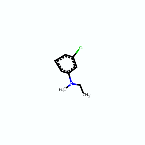 [CH2]CN(C)c1cccc(Cl)c1